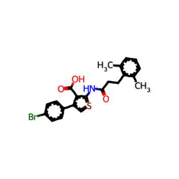 Cc1cccc(C)c1CCC(=O)Nc1scc(-c2ccc(Br)cc2)c1C(=O)O